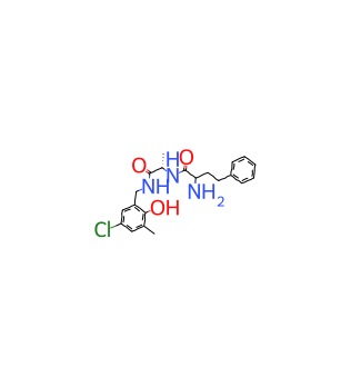 Cc1cc(Cl)cc(CNC(=O)[C@H](C)NC(=O)[C@H](N)CCc2ccccc2)c1O